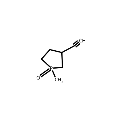 C#CC1CCP(C)(=O)C1